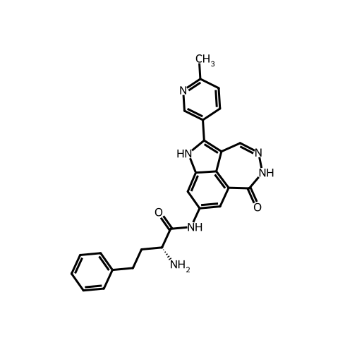 Cc1ccc(-c2[nH]c3cc(NC(=O)[C@H](N)CCc4ccccc4)cc4c3c2C=NNC4=O)cn1